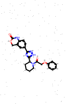 O=C1Nc2ccc(-c3n[nH]c(C4CCCCN4C(=O)COc4ccccc4)n3)cc2CO1